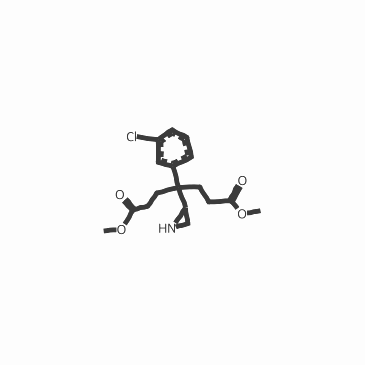 COC(=O)CCC(CCC(=O)OC)(c1cccc(Cl)c1)C1CN1